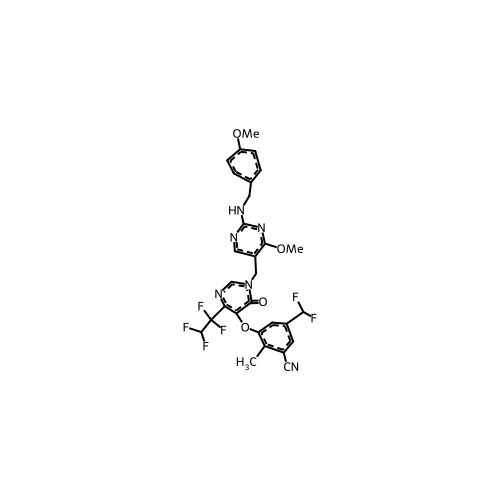 COc1ccc(CNc2ncc(Cn3cnc(C(F)(F)C(F)F)c(Oc4cc(C(F)F)cc(C#N)c4C)c3=O)c(OC)n2)cc1